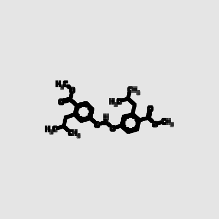 COC(=O)c1ccc(OBOc2ccc(C(=O)OC)c(CC(C)C)c2)cc1CC(C)C